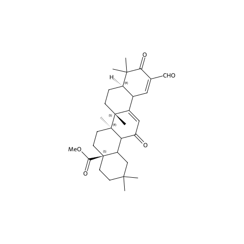 COC(=O)[C@]12CCC(C)(C)CC1C1C(=O)C=C3C4C=C(C=O)C(=O)C(C)(C)[C@@H]4CC[C@@]3(C)[C@]1(C)CC2